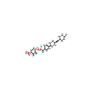 CCOc1ccc(OCC(F)C(F)c2ccc(C3CCC(C#CC4CCC(C)CC4)CC3)cc2)c(F)c1F